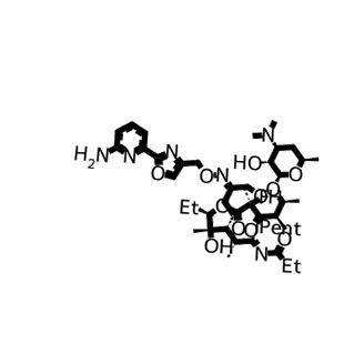 CCC[C@@H](C)/C(=N\C(=O)CC)[C@H](C)[C@@H](CC/C(CO)=N\OCc1coc(-c2cccc(N)n2)n1)[C@](C)(O)[C@@H](CC)OC(=O)[C@@](C)(F)C(=O)[C@H](C)[C@H](C)O[C@@H]1O[C@H](C)C[C@H](N(C)C)[C@H]1O